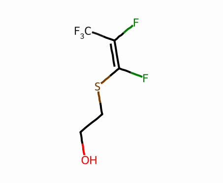 OCCSC(F)=C(F)C(F)(F)F